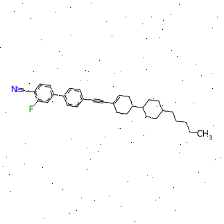 CCCCCC1CCC(C2CC=C(C#Cc3ccc(-c4ccc(C#N)c(F)c4)cc3)CC2)CC1